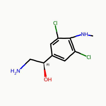 CNc1c(Cl)cc([C@@H](O)CN)cc1Cl